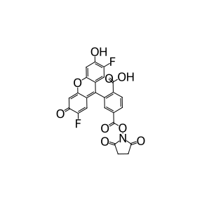 O=C(ON1C(=O)CCC1=O)c1ccc(C(=O)O)c(-c2c3cc(F)c(=O)cc-3oc3cc(O)c(F)cc23)c1